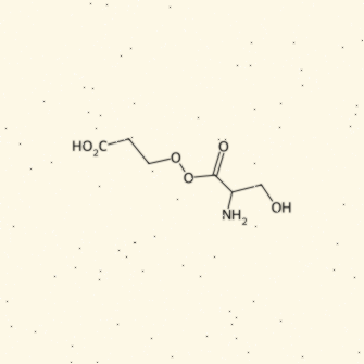 NC(CO)C(=O)OOCCC(=O)O